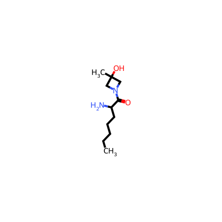 CCCCCC(N)C(=O)N1CC(C)(O)C1